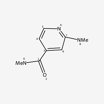 [CH2+][N-]C(=O)c1ccnc(NC)c1